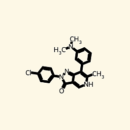 Cc1[nH]cc2c(=O)n(-c3ccc(Cl)cc3)nc-2c1-c1cccc(N(C)C)c1